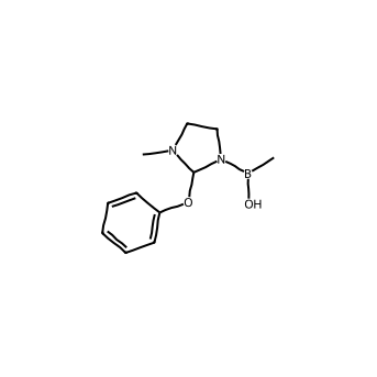 CB(O)N1CCN(C)C1Oc1ccccc1